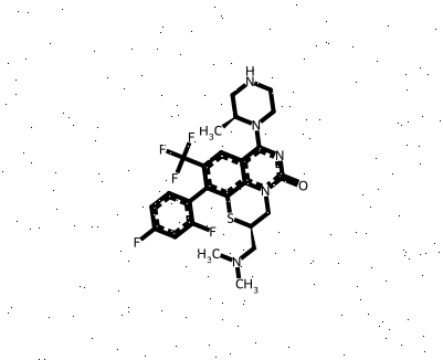 C[C@H]1CNCCN1c1nc(=O)n2c3c(c(-c4ccc(F)cc4F)c(C(F)(F)F)cc13)S[C@H](CN(C)C)C2